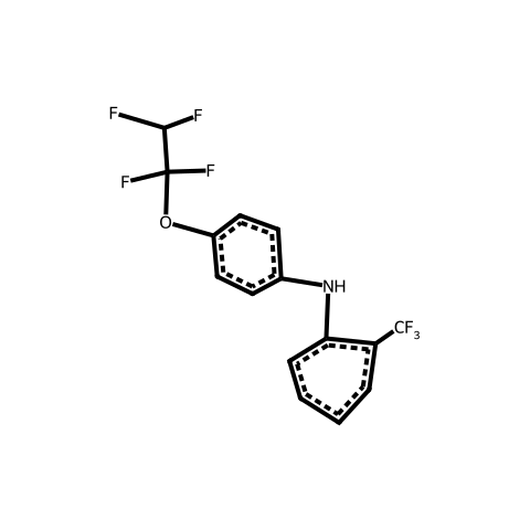 FC(F)C(F)(F)Oc1ccc(Nc2ccccc2C(F)(F)F)cc1